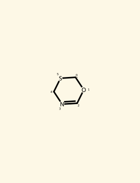 [CH]1OC=NCS1